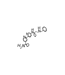 NC(=O)c1ccnc(-c2ccc(NC(=O)CCNCc3ccccc3)cn2)c1